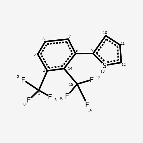 FC(F)(F)c1cccc(-c2c[c]cs2)c1C(F)(F)F